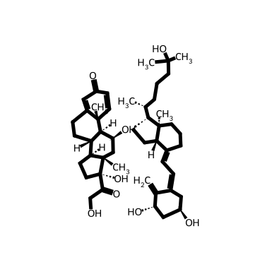 C=C1/C(=C\C=C2/CCC[C@]3(C)[C@@H]([C@H](C)CCCC(C)(C)O)CC[C@@H]23)C[C@@H](O)C[C@@H]1O.C[C@]12C=CC(=O)C=C1CC[C@@H]1[C@@H]2[C@@H](O)C[C@@]2(C)[C@H]1CC[C@]2(O)C(=O)CO